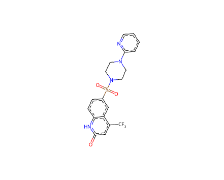 O=c1cc(C(F)(F)F)c2cc(S(=O)(=O)N3CCN(c4ccccn4)CC3)ccc2[nH]1